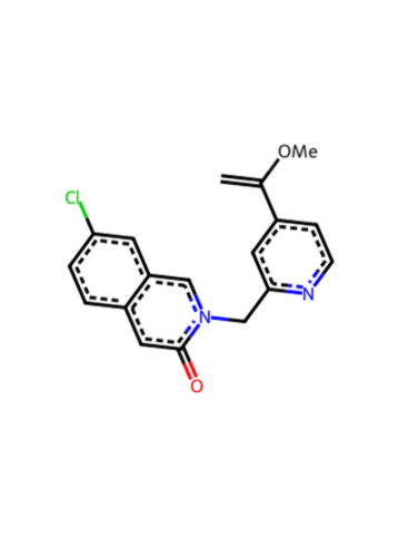 C=C(OC)c1ccnc(Cn2cc3cc(Cl)ccc3cc2=O)c1